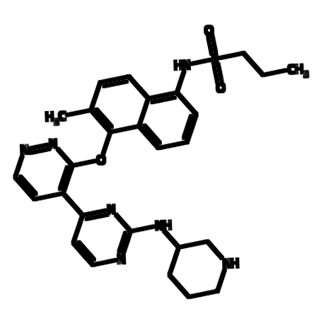 CCCS(=O)(=O)Nc1cccc2c(Oc3nnccc3-c3ccnc(NC4CCCNC4)n3)c(C)ccc12